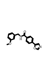 COc1cccc(CNC(=O)c2ccc(-c3cnco3)cc2)c1